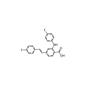 O=C(O)c1ccc(C=Cc2ccc(F)cc2)cc1Nc1ccc(F)cc1